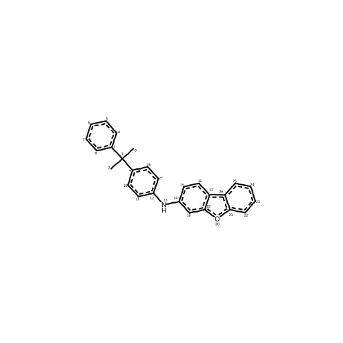 CC(C)(c1ccccc1)c1ccc(Nc2ccc3c(c2)oc2ccccc23)cc1